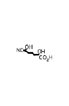 N#CC(O)CCCC(O)C(=O)O